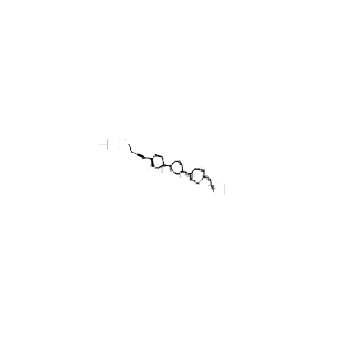 CCCC#Cc1ccc(C2CCC(C3CCC(CCC)CC3)CC2)cc1